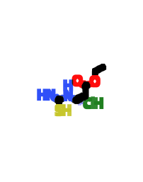 CCOC(=O)/C=C\NC(=N)S.Cl